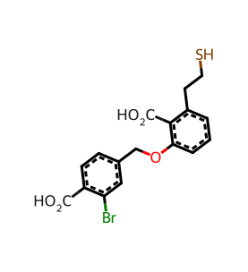 O=C(O)c1ccc(COc2cccc(CCS)c2C(=O)O)cc1Br